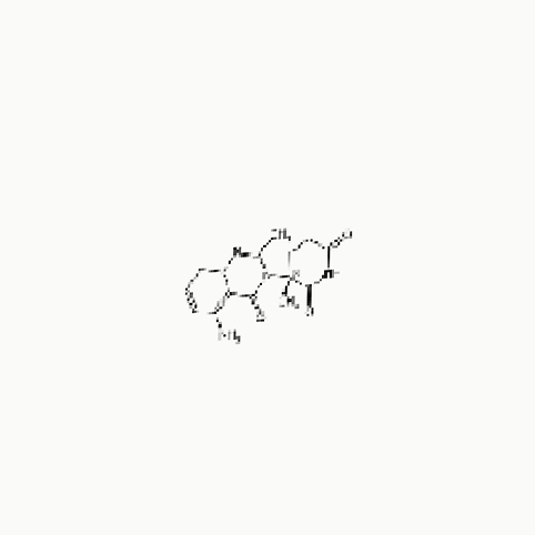 CC1=NC2CC=CC(N)=C2C(=O)N1[C@]1(C)CCC(=O)NC1=O